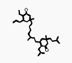 CCCC1=C(CC)C(=O)CC(C)(CCCCC(C)CCC2=C(CC(C)C)C(=O)CC(C)(CCC(C)C)C2)C1